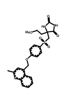 COCCC1(CS(=O)(=O)c2ccc(OCc3cc(C)nc4ccccc34)cc2)NC(=O)NC1=O